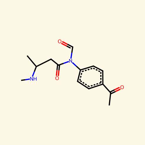 CNC(C)CC(=O)N(C=O)c1ccc(C(C)=O)cc1